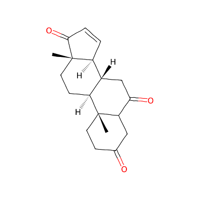 C[C@]12CCC(=O)CC1C(=O)C[C@@H]1[C@@H]2CC[C@]2(C)C(=O)C=C[C@@H]12